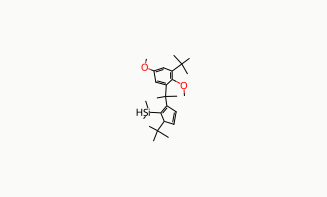 COc1cc(C(C)(C)C)c(OC)c(C(C)(C)C2=C([SiH](C)C)C(C(C)(C)C)C=C2)c1